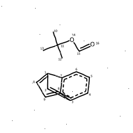 C1=C2C=c3cccc2c3=C1.CC(C)(C)OC=O